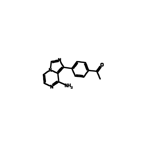 CC(=O)c1ccc(-c2ncn3ccnc(N)c23)cc1